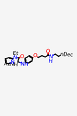 CCCCCCCCCCCCNC(=O)CCCOc1ccc(NC(NC(C)=O)C(=O)N(CC)c2ccccn2)cc1